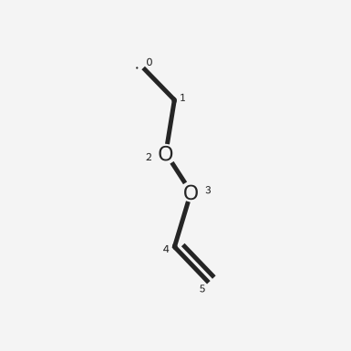 [CH2]COOC=C